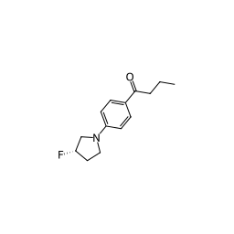 CCCC(=O)c1ccc(N2CC[C@H](F)C2)cc1